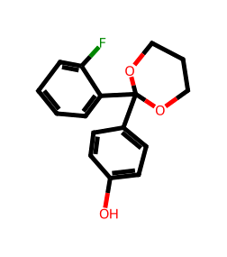 Oc1ccc(C2(c3ccccc3F)OCCCO2)cc1